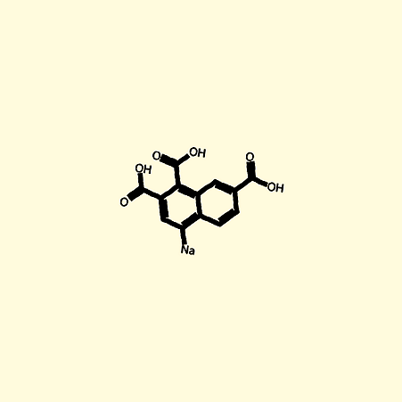 O=C(O)c1ccc2[c]([Na])cc(C(=O)O)c(C(=O)O)c2c1